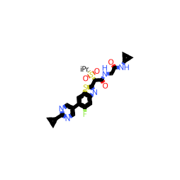 CC(C)S(=O)(=O)C(C(=O)NCC(=O)NC1CC1)c1nc2cc(F)c(-c3cnc(C4CC4)nc3)cc2s1